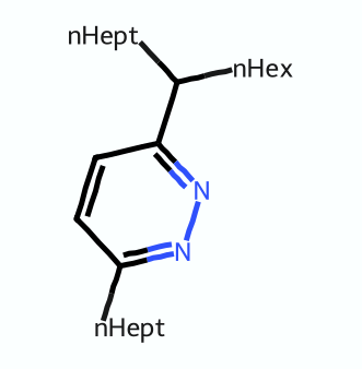 CCCCCCCc1ccc(C(CCCCCC)CCCCCCC)nn1